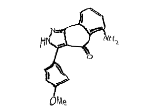 COc1ccc(-c2[nH]nc3c2C(=O)c2c(N)cccc2-3)cc1